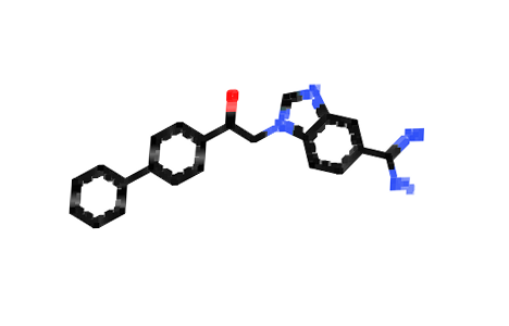 N=C(N)c1ccc2c(c1)ncn2CC(=O)c1ccc(-c2ccccc2)cc1